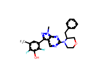 Cn1nc(-c2cc(C(F)(F)F)c(F)c(O)c2F)c2cnc(N3CCOCC3Cc3ccccc3)nc21